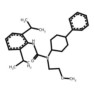 COCCN(C(=O)Nc1c(C(C)C)cccc1C(C)C)C1CCC(c2ccccc2)CC1